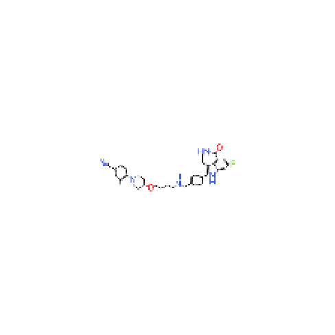 Cc1cc(C#N)ccc1N1CCC(OCCCCNCc2ccc(-c3[nH]c4cc(F)cc5c4c3CCNC5=O)cc2)CC1